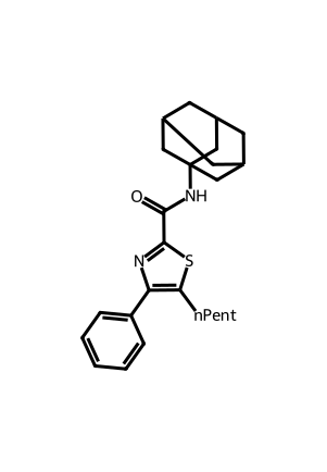 CCCCCc1sc(C(=O)NC23CC4CC(CC(C4)C2)C3)nc1-c1ccccc1